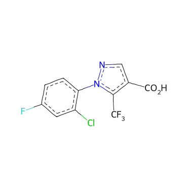 O=C(O)c1cnn(-c2ccc(F)cc2Cl)c1C(F)(F)F